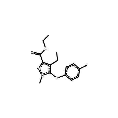 CCOC(=O)c1nn(C)c(Oc2ccc(C)cc2)c1CC